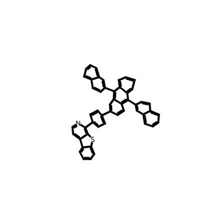 c1ccc2cc(-c3c4ccccc4c(-c4ccc5ccccc5c4)c4cc(-c5ccc(-c6nccc7c6sc6ccccc67)cc5)ccc34)ccc2c1